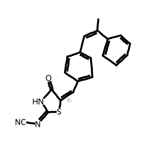 CC(=Cc1ccc(/C=C2/SC(=NC#N)NC2=O)cc1)c1ccccc1